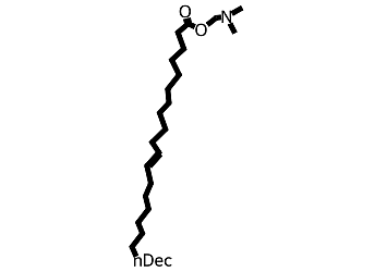 CCCCCCCCCCCCCCCCC=CCCCCCCCCCC(=O)OCN(C)C